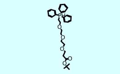 CC(C)(C)OC(=O)CCOCCOCCOCC[PH](c1ccccc1)(c1ccccc1)c1ccccc1